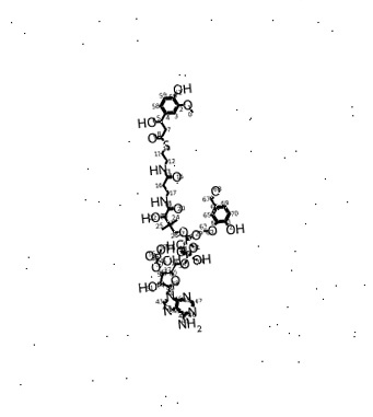 COc1cc(C(O)CC(=O)SCCNC(=O)CCNC(=O)[C@H](O)C(C)(C)COP(=O)(O)OP(=O)(O)OC[C@H]2O[C@@H](n3cnc4c(N)ncnc43)[C@H](O)[C@@H]2OP(=O)(O)O)ccc1O.COc1cc(C=O)ccc1O